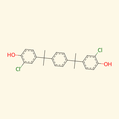 CC(C)(c1ccc(C(C)(C)c2ccc(O)c(Cl)c2)cc1)c1ccc(O)c(Cl)c1